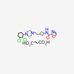 O=C(NC1CC(CCN2CCN(c3cccc(Cl)c3Cl)CC2)C1)c1ncco1.O=C(O)/C=C/C(=O)O